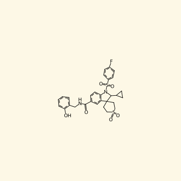 O=C(NCc1ccccc1O)c1ccc2c(c1)C1(CCS(=O)(=O)CC1)C(C1CC1)N2S(=O)(=O)c1ccc(F)cc1